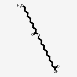 CCCCCCCCCCC(=O)OCCCCCCCCCCCC(=O)O